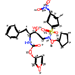 O=C(N[C@@H](Cc1ccccc1)[C@@H](O)CN(OC1CCCC1)S(=O)(=O)c1cccc([N+](=O)[O-])c1)Oc1ccoc1